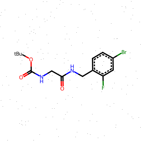 CC(C)(C)OC(=O)NCC(=O)NCc1ccc(Br)cc1F